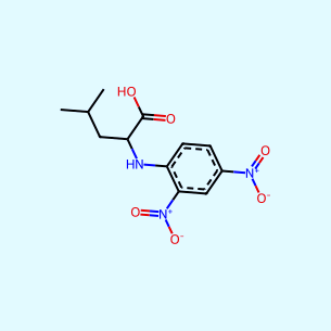 CC(C)CC(Nc1ccc([N+](=O)[O-])cc1[N+](=O)[O-])C(=O)O